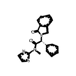 CN(C(=O)[C@@H](c1ccccc1)N1Cc2ccccc2C1=O)c1nccs1